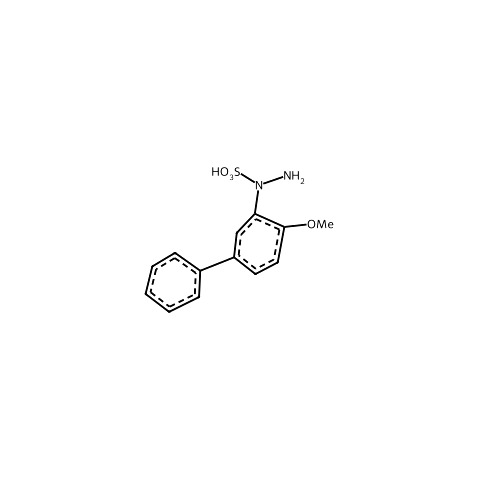 COc1ccc(-c2ccccc2)cc1N(N)S(=O)(=O)O